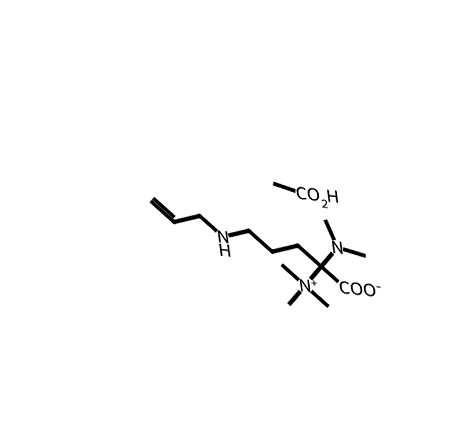 C=CCNCCCC(C(=O)[O-])(N(C)C)[N+](C)(C)C.CC(=O)O